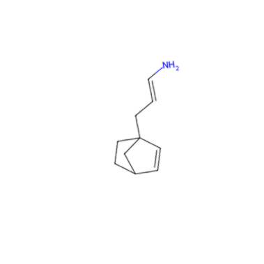 NC=CCC12C=CC(CC1)C2